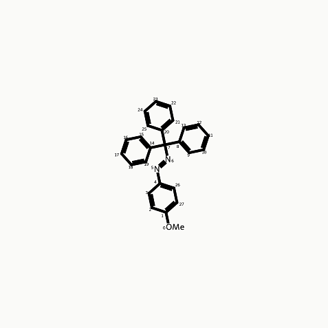 COc1ccc(N=NC(c2ccccc2)(c2ccccc2)c2ccccc2)cc1